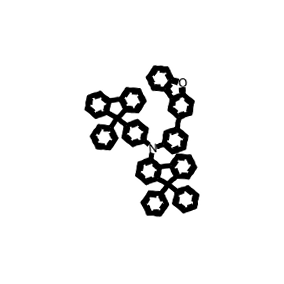 c1ccc(C2(c3ccc(N(c4cccc(-c5ccc6oc7ccccc7c6c5)c4)c4cccc5c4-c4ccccc4C5(c4ccccc4)c4ccccc4)cc3)c3ccccc3-c3ccccc32)cc1